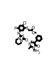 COC(=O)CSc1cc(/N=c2\sc(=O)n3n2CCCC3)c(F)cc1Cl.Cc1nnc(-c2ccccc2)c(=O)n1N